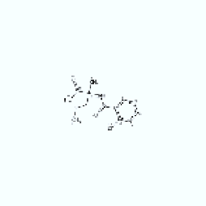 CCCC(C)(NC(=O)c1cccnc1Cl)C(=O)O